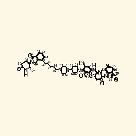 CCc1cc(Nc2ncc(Cl)c(Nc3ccccc3P(C)(C)=O)n2)c(OC)cc1N1CCC(N2CCN(CCCCCc3cccc4c3CN(C3CCC(=O)NC3=O)C4=O)CC2)CC1